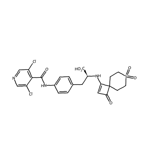 O=C(Nc1ccc(C[C@H](NC2=CC(=O)C23CCS(=O)(=O)CC3)C(=O)O)cc1)c1c(Cl)cncc1Cl